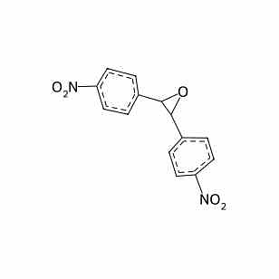 O=[N+]([O-])c1ccc(C2OC2c2ccc([N+](=O)[O-])cc2)cc1